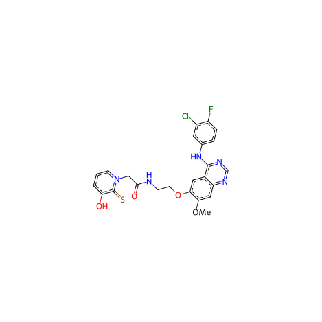 COc1cc2ncnc(Nc3ccc(F)c(Cl)c3)c2cc1OCCNC(=O)Cn1cccc(O)c1=S